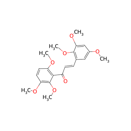 COc1cc(C=CC(=O)c2c(OC)ccc(OC)c2OC)c(OC)c(OC)c1